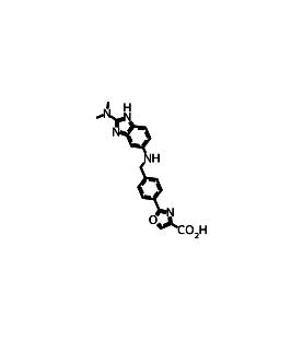 CN(C)c1nc2cc(NCc3ccc(-c4nc(C(=O)O)co4)cc3)ccc2[nH]1